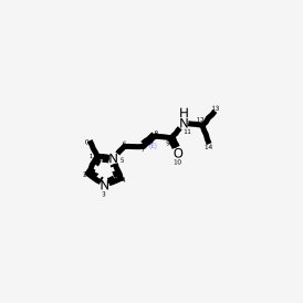 Cc1cncn1C/C=C/C(=O)NC(C)C